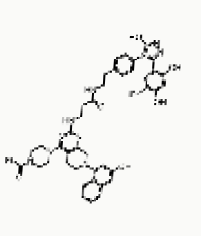 CCC(=O)N1CCN(c2nc(NCCC(=O)NCCc3ccc(-n4c(O)nnc4-c4cc(C(C)C)c(O)cc4O)cc3)nc3c2CCN(c2cc(O)cc4ccccc24)C3)CC1